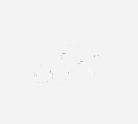 CCC12CCC(=O)C(C)=C1c1ccc3[nH]ncc3c1C2Cl